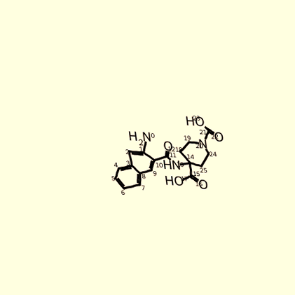 Nc1cc2ccccc2cc1C(=O)NC1(C(=O)O)CCN(C(=O)O)CC1